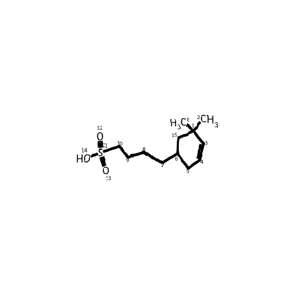 CC1(C)C=CCC(CCCCS(=O)(=O)O)C1